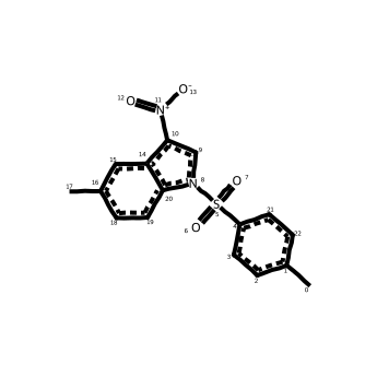 Cc1ccc(S(=O)(=O)n2cc([N+](=O)[O-])c3cc(C)ccc32)cc1